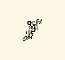 CC(C)C[C@@H](CO)NC(=O)c1c(-c2ccccc2)nc2c(Nc3cc(N4CCOCC4)ncn3)cccn12